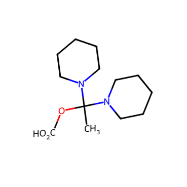 CC(OC(=O)O)(N1CCCCC1)N1CCCCC1